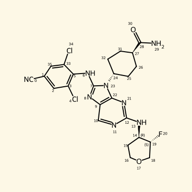 N#Cc1cc(Cl)c(Nc2nc3cnc(N[C@@H]4CCOC[C@H]4F)nc3n2[C@H]2CC[C@H](C(N)=O)CC2)c(Cl)c1